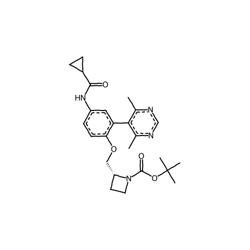 Cc1ncnc(C)c1-c1cc(NC(=O)C2CC2)ccc1OC[C@H]1CCN1C(=O)OC(C)(C)C